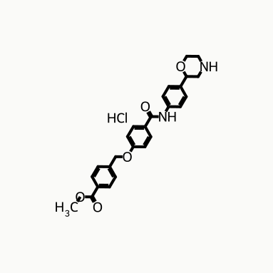 COC(=O)c1ccc(COc2ccc(C(=O)Nc3ccc(C4CNCCO4)cc3)cc2)cc1.Cl